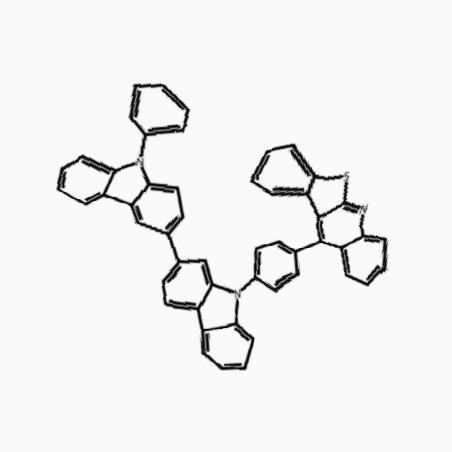 c1ccc(-n2c3ccccc3c3cc(-c4ccc5c6ccccc6n(-c6ccc(-c7c8ccccc8nc8sc9ccccc9c78)cc6)c5c4)ccc32)cc1